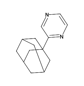 c1cnc(C23CC4CC(CC(C4)C2)C3)cn1